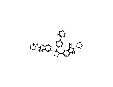 c1ccc(-c2ccc(N3[C@@H](c4ccc5nc([C@@H]6CCCN6)[nH]c5c4)CC[C@@H]3c3ccc4nc([C@@H]5CCCN5)[nH]c4c3)cc2)nc1